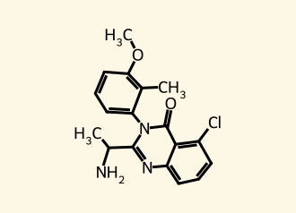 COc1cccc(-n2c(C(C)N)nc3cccc(Cl)c3c2=O)c1C